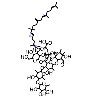 C=C(C/C=C(\C)CCC=C(C)C)CCC(C)(C)/C=C/CC/C(C)=C\CO[C@H](COP(=O)(O)OC1OC(C)C(C)(O)C(C=O)C1OC1OC(COC2OC(CO)C(O)C(O)C2O)C(OC2OC(C)C(OC3OC(C)C(O)C(O)C3O)C(O)C2C)C(O)C1C)C(=O)O